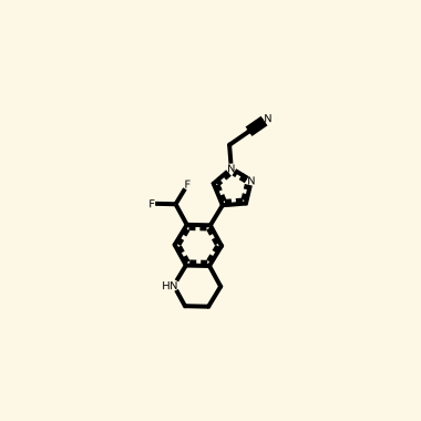 N#CCn1cc(-c2cc3c(cc2C(F)F)NCCC3)cn1